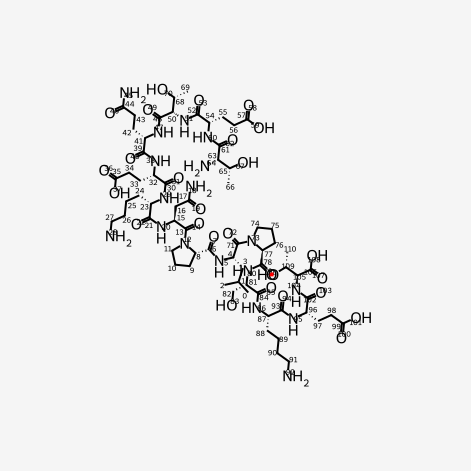 CC(C)C[C@H](NC(=O)[C@@H]1CCCN1C(=O)[C@H](CC(N)=O)NC(=O)[C@H](CCCCN)NC(=O)[C@H](CCC(=O)O)NC(=O)[C@H](CCC(N)=O)NC(=O)[C@@H](NC(=O)[C@H](CCC(=O)O)NC(=O)[C@@H](N)[C@@H](C)O)[C@@H](C)O)C(=O)N1CCC[C@H]1C(=O)N[C@@H](CO)C(=O)N[C@@H](CCCCN)C(=O)N[C@@H](CCC(=O)O)C(=O)N[C@H](C(=O)O)[C@@H](C)O